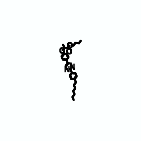 CCCCCCCc1ccc(-c2ncc(-c3ccc(OC(C)C(=O)OCCCC)cc3)cn2)cc1